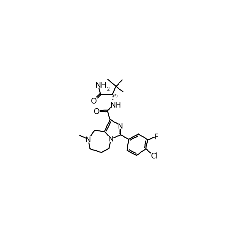 CN1CCCn2c(-c3ccc(Cl)c(F)c3)nc(C(=O)N[C@H](C(N)=O)C(C)(C)C)c2C1